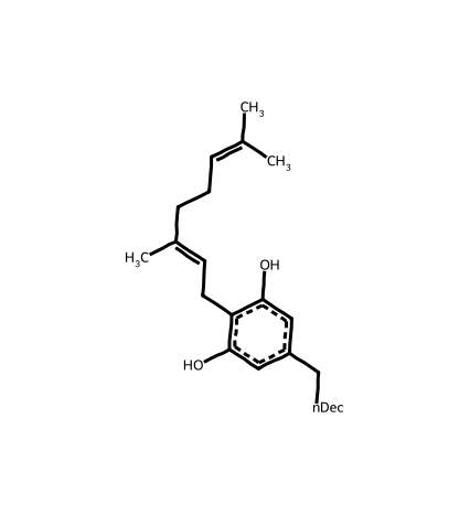 CCCCCCCCCCCc1cc(O)c(C/C=C(\C)CCC=C(C)C)c(O)c1